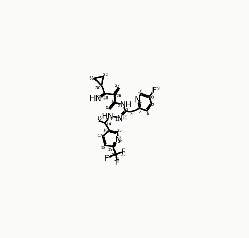 C=C(N/C(Cc1ccc(F)cn1)=N\NC(C)c1ccc(C(F)(F)F)nc1)C(=C)C(=N)C1CC1